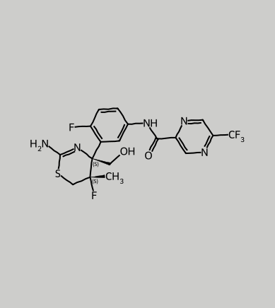 C[C@@]1(F)CSC(N)=N[C@]1(CO)c1cc(NC(=O)c2cnc(C(F)(F)F)cn2)ccc1F